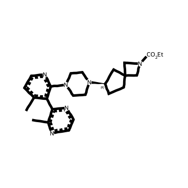 CCOC(=O)N1CC2(CC[C@@H](N3CCN(c4nccc(C)c4-c4nccnc4C)CC3)C2)C1